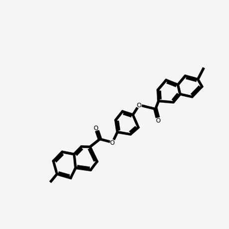 Cc1ccc2cc(C(=O)Oc3ccc(OC(=O)c4ccc5cc(C)ccc5c4)cc3)ccc2c1